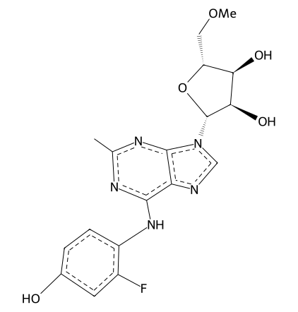 COC[C@H]1O[C@@H](n2cnc3c(Nc4ccc(O)cc4F)nc(C)nc32)[C@H](O)[C@@H]1O